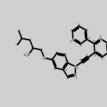 CC(C)CC(N)COc1ccc2c(cnn2C#Cc2cccnc2-c2cccnc2)c1